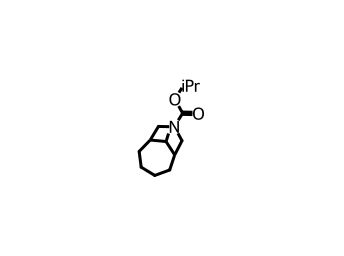 CC(C)OC(=O)N1CC2CCCCC(C1)C2C